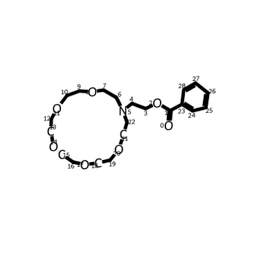 O=C(OCCN1CCOCCOCCOCCOCCOCC1)c1ccccc1